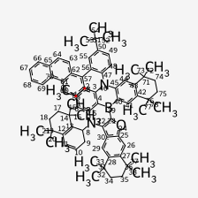 Cc1cc2c3c(c1)N(C1CC=CC4=C1C(C)(C)CCC4(C)C)c1c(oc4cc5c(cc14)C(C)(C)CCC5(C)C)B3c1cc3c(cc1N2c1ccc(C(C)(C)C)cc1-c1cccc2c1ccc1ccccc12)C(C)(C)CCC3(C)C